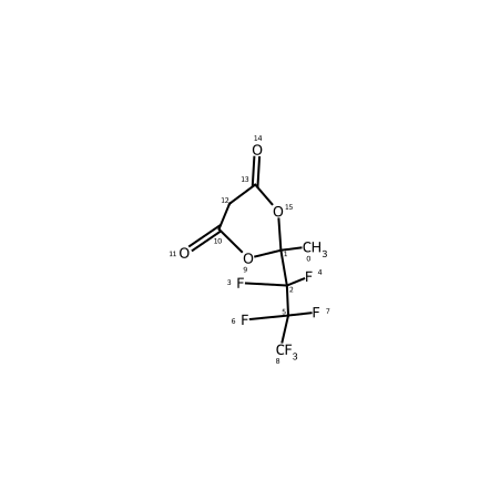 CC1(C(F)(F)C(F)(F)C(F)(F)F)OC(=O)CC(=O)O1